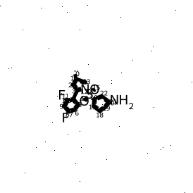 [CH2]c1cc(-c2ccc(F)cc2F)n(S(=O)(=O)c2cccc(N)c2)c1